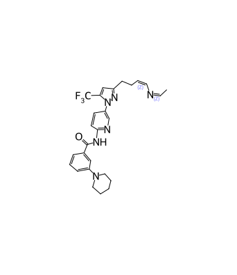 C/C=N\C=C/CCc1cc(C(F)(F)F)n(-c2ccc(NC(=O)c3cccc(N4CCCCC4)c3)nc2)n1